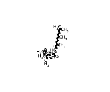 CC[C@H](C)[C@H](NS(C)(=O)=O)C(=O)N[C@@H](CSC/C=C(\C)CC/C=C(\C)CCC=C(C)C)C(=O)O